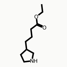 CCOC(=O)CCCC1CCNC1